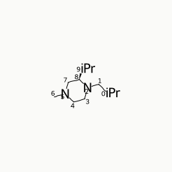 CC(C)CN1CCN(C)C[C@H]1C(C)C